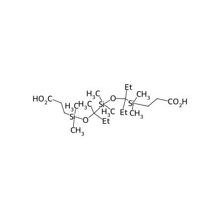 CCC(CC)(O[Si](C)(C)C(C)(CC)O[Si](C)(C)CCC(=O)O)[Si](C)(C)CCC(=O)O